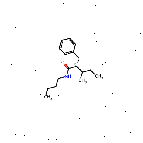 CCCCNC(=O)[C@H](Cc1ccccc1)C(C)CC